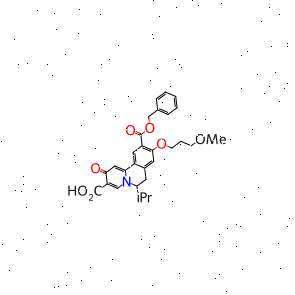 COCCCOc1cc2c(cc1C(=O)OCc1ccccc1)-c1cc(=O)c(C(=O)O)cn1C(C(C)C)C2